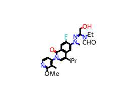 CCN(C=O)/C(CO)=N\N(C)c1cc2c(C(C)C)cn(-c3ccnc(OC)c3C)c(=O)c2cc1F